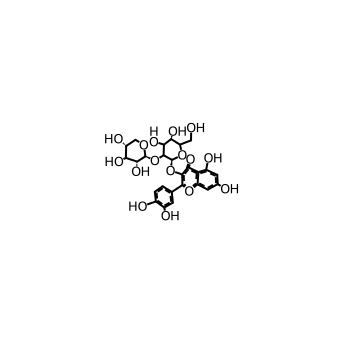 O=c1c(O[C@@H]2OC(CO)[C@@H](O)C(O)C2O[C@@H]2OC[C@@H](O)C(O)[C@H]2O)c(-c2ccc(O)c(O)c2)oc2cc(O)cc(O)c12